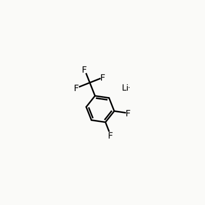 Fc1ccc(C(F)(F)F)cc1F.[Li]